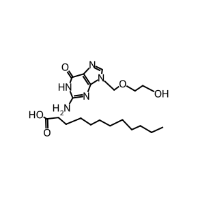 CCCCCCCCCCCC(=O)O.Nc1nc2c(ncn2COCCO)c(=O)[nH]1